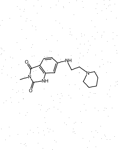 Cn1c(=O)[nH]c2cc(NCCN3CCCCC3)ccc2c1=O